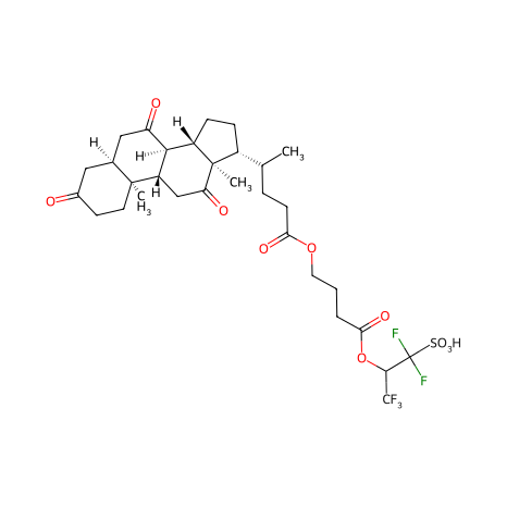 CC(CCC(=O)OCCCC(=O)OC(C(F)(F)F)C(F)(F)S(=O)(=O)O)[C@H]1CC[C@H]2[C@@H]3C(=O)C[C@@H]4CC(=O)CC[C@]4(C)[C@H]3CC(=O)[C@]12C